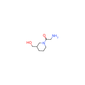 NCC(=O)N1CCCC(CO)C1